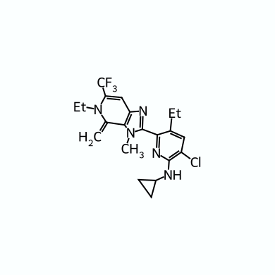 C=C1c2c(nc(-c3nc(NC4CC4)c(Cl)cc3CC)n2C)C=C(C(F)(F)F)N1CC